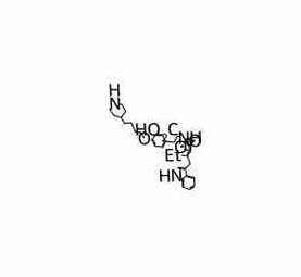 CC/C(=C\S(=O)(=O)NC(Cc1ccc(OCCCCC2CCNCC2)cc1)C(=O)O)Cc1c[nH]c2ccccc12